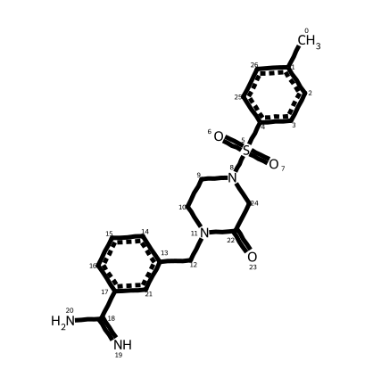 Cc1ccc(S(=O)(=O)N2CCN(Cc3cccc(C(=N)N)c3)C(=O)C2)cc1